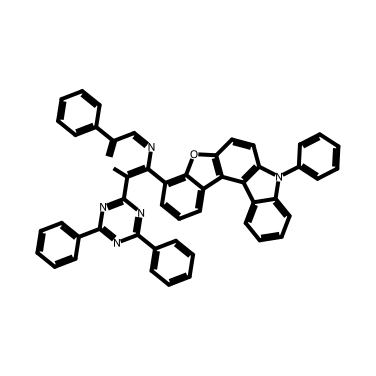 C=C(/C=N\C(=C(/C)c1nc(-c2ccccc2)nc(-c2ccccc2)n1)c1cccc2c1oc1ccc3c(c4ccccc4n3-c3ccccc3)c12)c1ccccc1